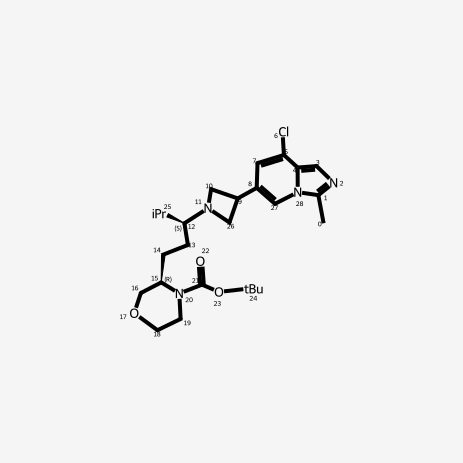 Cc1ncc2c(Cl)cc(C3CN([C@@H](CC[C@@H]4COCCN4C(=O)OC(C)(C)C)C(C)C)C3)cn12